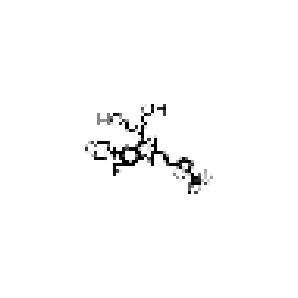 O=[N+]([O-])c1ccc(C=Cc2nc(N(CCO)CCO)c3cc(N4CCOCC4)c(F)cc3n2)o1